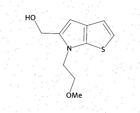 COCCn1c(CO)cc2ccsc21